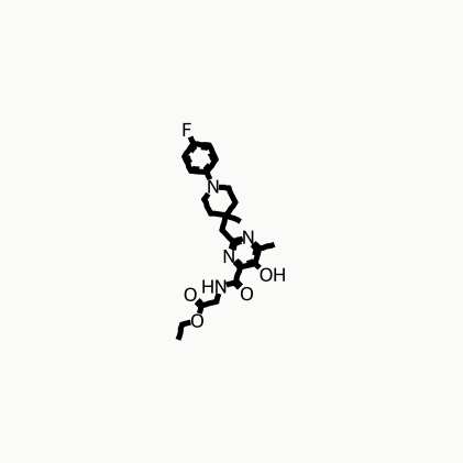 CCOC(=O)CNC(=O)c1nc(CC2(C)CCN(c3ccc(F)cc3)CC2)nc(C)c1O